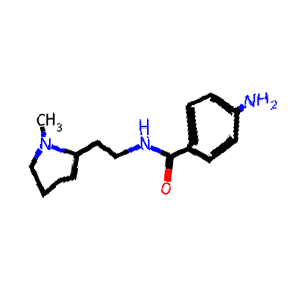 CN1CCCC1CCNC(=O)c1ccc(N)cc1